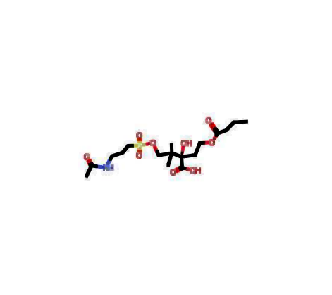 CCCC(=O)OCC[C@](O)(C(=O)O)C(C)(C)COS(=O)(=O)CCCNC(C)=O